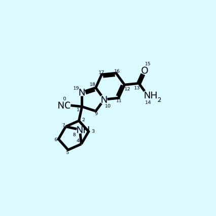 N#CC1(C2CC3CCC2N3)CN2C=C(C(N)=O)C=CC2=N1